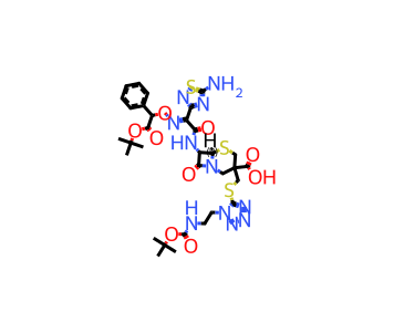 CC(C)(C)OC(=O)NCCn1nnnc1SCC1(C(=O)O)CS[C@@H]2C(NC(=O)C(=NOC(C(=O)OC(C)(C)C)c3ccccc3)c3nsc(N)n3)C(=O)N2C1